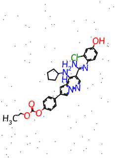 CCOC(=O)Oc1ccc(-c2cc3c(NC4CCCC4)c(/C(N)=N/c4ccc(O)cc4Cl)cnn3c2)cc1